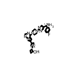 C[C@](N)(c1ccc(F)cc1)c1cnc(N2CCN(c3ncnn4cc(-c5cnn([C@H]6CC[C@@H]6O)c5)cc34)CC2)nc1